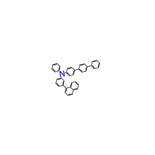 c1ccc(-c2ccc(-c3ccc(N(c4ccccc4)c4cccc(-c5cccc6ccccc56)c4)cc3)cc2)cc1